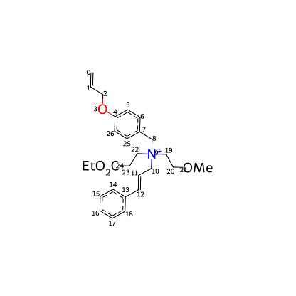 C=CCOc1ccc(C[N+](C/C=C/c2ccccc2)(CCOC)CCC(=O)OCC)cc1